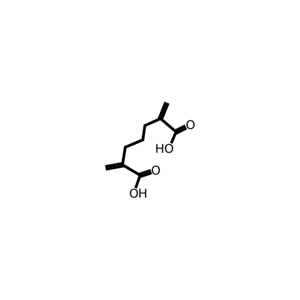 C=C(CCCC(=C)C(=O)O)C(=O)O